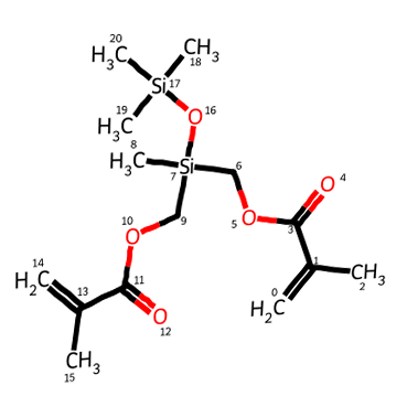 C=C(C)C(=O)OC[Si](C)(COC(=O)C(=C)C)O[Si](C)(C)C